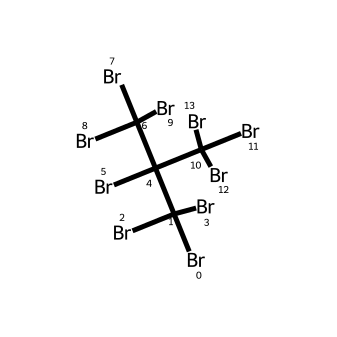 BrC(Br)(Br)C(Br)(C(Br)(Br)Br)C(Br)(Br)Br